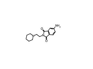 Nc1ccc2c(c1)C(=O)N(CCN1CCCCC1)C2=O